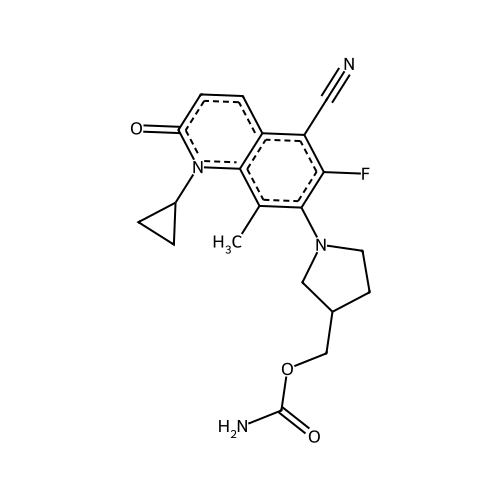 Cc1c(N2CCC(COC(N)=O)C2)c(F)c(C#N)c2ccc(=O)n(C3CC3)c12